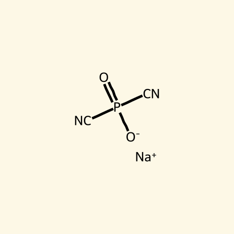 N#CP(=O)([O-])C#N.[Na+]